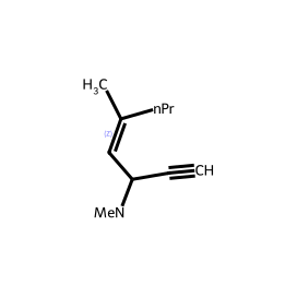 C#CC(/C=C(/C)CCC)NC